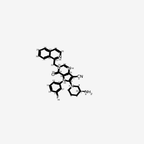 N#Cc1c(N2CCC[C@H](N)C2)n(-c2cccc(F)c2)c2c(=O)n(Cc3nccc4ccccc34)cnc12